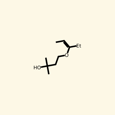 CC=C(CC)OCCC(C)(C)O